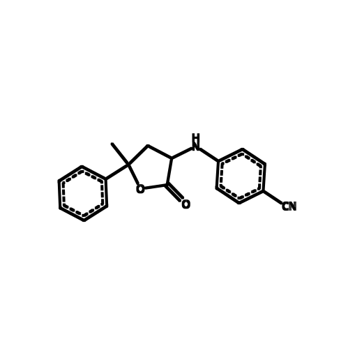 CC1(c2ccccc2)CC(Nc2ccc(C#N)cc2)C(=O)O1